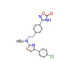 CCCCN(CCc1ccc(-c2noc(=O)[nH]2)cc1)c1nc(-c2ccc(Cl)cc2)cs1